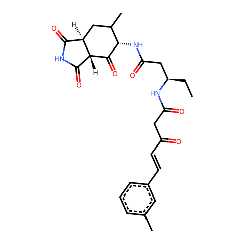 CC[C@H](CC(=O)N[C@@H]1C(=O)[C@@H]2C(=O)NC(=O)[C@H]2CC1C)NC(=O)CC(=O)/C=C/c1cccc(C)c1